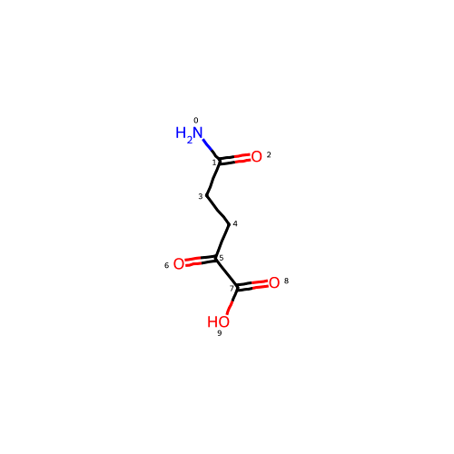 NC(=O)CCC(=O)C(=O)O